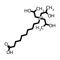 CC(O)C[N+](CCCCCCCCCC(=O)O)(CC(C)O)CC(C)O